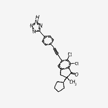 CC1(C2CCCC2)Cc2cc(C#Cc3ccc(-c4nn[nH]n4)cc3)c(Cl)c(Cl)c2C1=O